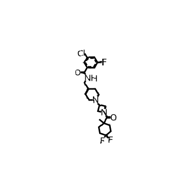 CC1(C(=O)N2CC(N3CCC(CNC(=O)c4cc(F)cc(Cl)c4)CC3)C2)CCC(F)(F)CC1